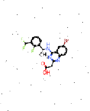 C[C@@H](Nc1nc(CC(=O)O)nc2ccc(Br)cc12)c1cccc(C(F)F)c1F